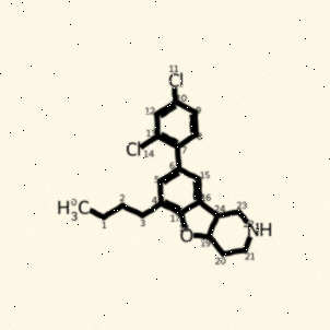 CCCCc1cc(-c2ccc(Cl)cc2Cl)cc2c1OC1CCNCC21